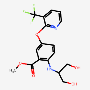 COC(=O)c1cc(Oc2ncccc2C(F)(F)F)ccc1NC(CO)CO